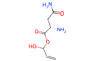 C=CC(O)OC(=O)[C@@H](N)CC(N)=O